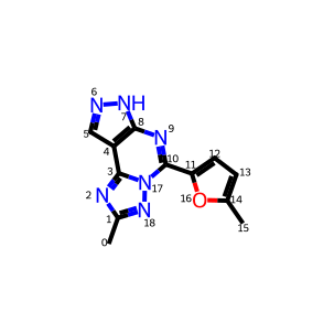 Cc1nc2c3cn[nH]c3nc(-c3ccc(C)o3)n2n1